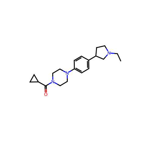 CCN1CCC(c2ccc(N3CCN(C(=O)C4CC4)CC3)cc2)C1